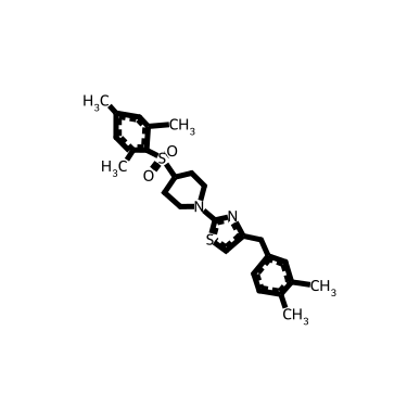 Cc1cc(C)c(S(=O)(=O)C2CCN(c3nc(Cc4ccc(C)c(C)c4)cs3)CC2)c(C)c1